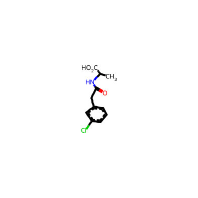 CC(NC(=O)Cc1cccc(Cl)c1)C(=O)O